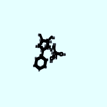 Cc1nc(-c2ccccc2)cn1C.N[SH](=O)=O